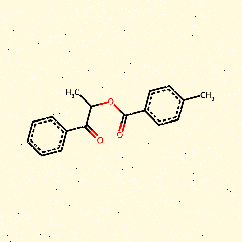 Cc1ccc(C(=O)OC(C)C(=O)c2ccccc2)cc1